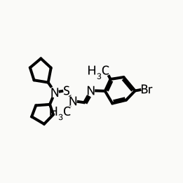 Cc1cc(Br)ccc1N=CN(C)SN(C1CCCC1)C1CCCC1